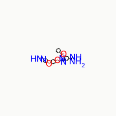 CC(=N)N1CCC(Oc2ccc(OCc3nc4cc(C(=N)N)ccc4n3CC(=O)c3ccccc3)cc2)CC1